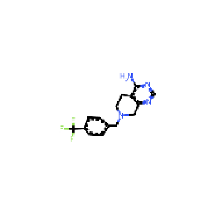 Nc1ncnc2c1CCN(Cc1ccc(C(F)(F)F)cc1)C2